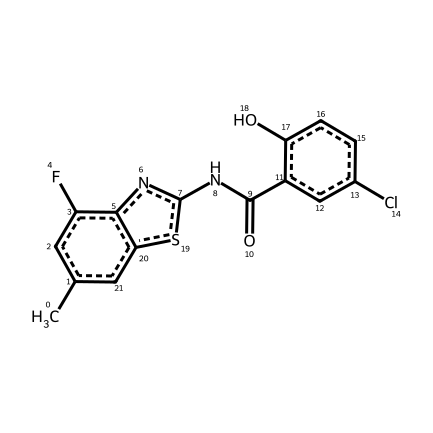 Cc1cc(F)c2nc(NC(=O)c3cc(Cl)ccc3O)sc2c1